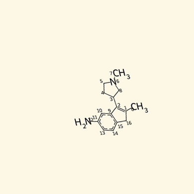 CC1=C(C2CCN(C)C2)c2cc(N)ccc2C1